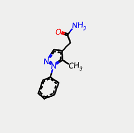 Cc1c(CC(N)=O)cnn1-c1ccccc1